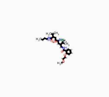 CCCCNC(=O)C(CC(O)C(N)CC(CNC(=O)c1ccccc1OCCOC)C(C)C)C(C)C.Cl